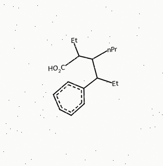 CCCC(C(CC)C(=O)O)C(CC)c1ccccc1